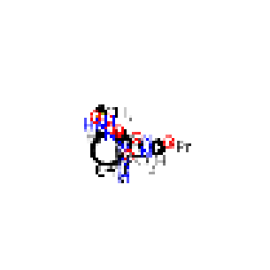 CC[C@@H]1C[C@H](C)CCC=C[C@@H]2C[C@@]2(C(=O)NS(=O)(=O)C2(C)CC2)NC(=O)[C@@H]2C[C@@H](Oc3nc4cc(OC(C)C)ccc4nc3C(F)(F)F)CN2C(=O)[C@H]1NC(=O)O